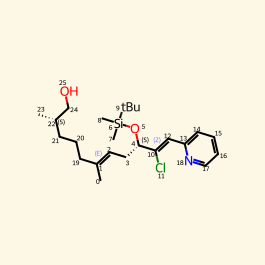 C/C(=C\C[C@H](O[Si](C)(C)C(C)(C)C)/C(Cl)=C/c1ccccn1)CCC[C@H](C)CO